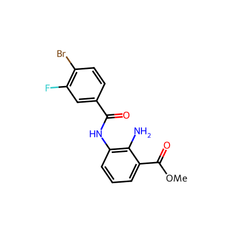 COC(=O)c1cccc(NC(=O)c2ccc(Br)c(F)c2)c1N